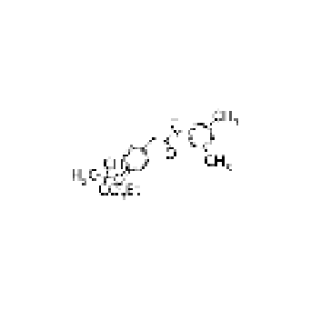 CCOC(=O)C(C)(C)Oc1ccc(CC(=O)Nc2cc(C)cc(C)c2)cc1